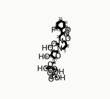 O=c1ccn([C@@H]2O[C@H](COP(=O)(O)OP(=O)(O)O)C(O)C2O)c(=O)n1Cc1noc2cccc(F)c12